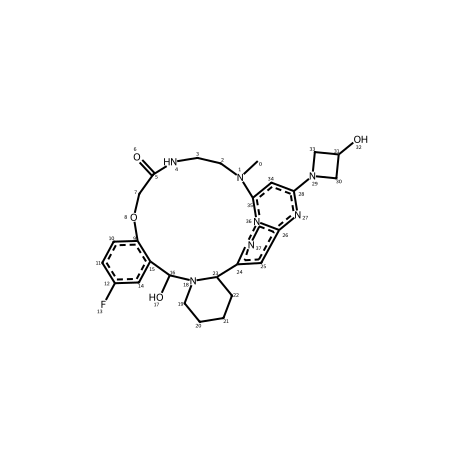 CN1CCNC(=O)COc2ccc(F)cc2C(O)N2CCCCC2c2cc3nc(N4CC(O)C4)cc1n3n2